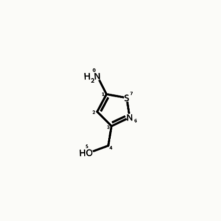 Nc1cc(CO)ns1